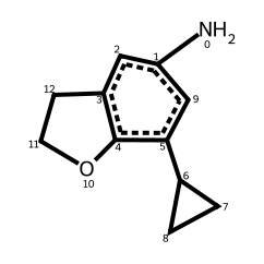 Nc1cc2c(c(C3CC3)c1)OCC2